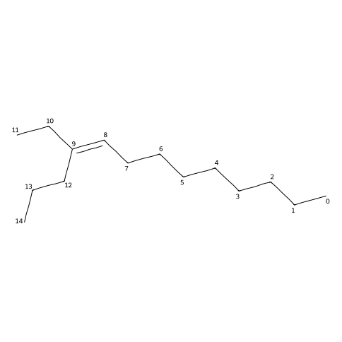 CCCCCCCCC=C(CC)CCC